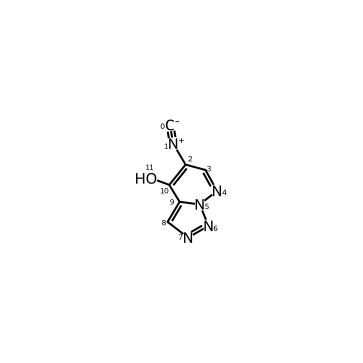 [C-]#[N+]c1cnn2nncc2c1O